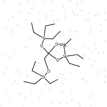 CC[Si](CC)(CC)OCC(O[SiH3])(O[Si](CC)(CC)CC)O[Si](CC)(CC)CC